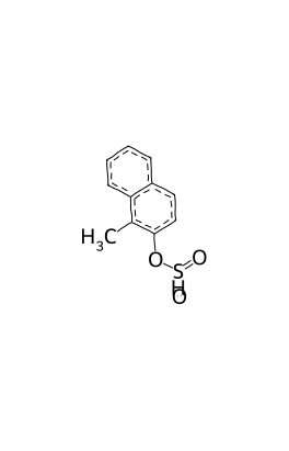 Cc1c(O[SH](=O)=O)ccc2ccccc12